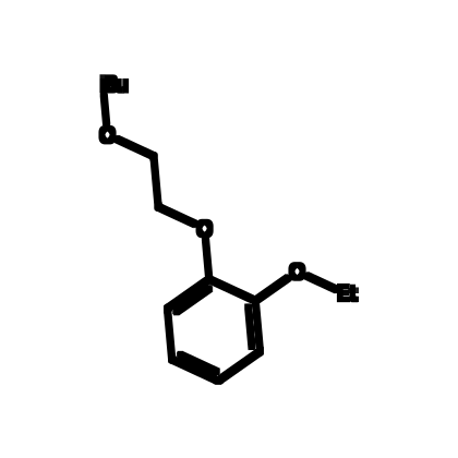 CCOc1ccccc1OCCOC(C)CC